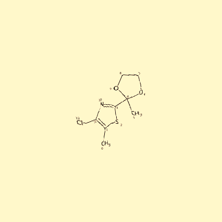 Cc1sc(C2(C)OCCO2)nc1Cl